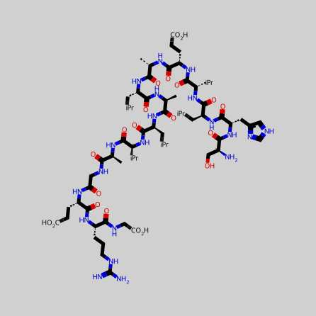 CC(C)C[C@H](NC(=O)[C@H](C)NC(=O)[C@H](CCC(=O)O)NC(=O)[C@@H](NC(=O)[C@H](CC(C)C)NC(=O)[C@H](Cc1c[nH]cn1)NC(=O)[C@@H](N)CO)C(C)C)C(=O)N[C@@H](C)C(=O)N[C@@H](CC(C)C)C(=O)N[C@H](C(=O)N[C@@H](C)C(=O)NCC(=O)N[C@@H](CCC(=O)O)C(=O)N[C@@H](CCCNC(=N)N)C(=O)NCC(=O)O)C(C)C